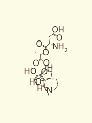 C[C@H](OC(=O)[C@@H](N)CC(=O)O)C(=O)OC1=CC[C@@]2(O)[C@H]3Cc4ccc(O)c5c4[C@@]2(CCCN3C)[C@H]1O5